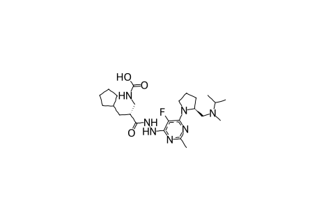 Cc1nc(NNC(=O)[C@@H](CNC(=O)O)CC2CCCC2)c(F)c(N2CCC[C@H]2CN(C)C(C)C)n1